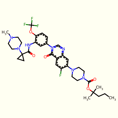 CCCC(C)(C)OC(=O)N1CCN(c2cc3ncn(-c4ccc(OC(F)(F)F)c(NC(=O)C5(N6CCN(C)CC6)CC5)c4)c(=O)c3cc2F)CC1